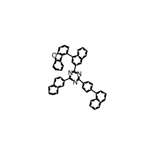 c1ccc2cc(-c3nc(-c4ccc(-c5cccc6ccccc56)cc4)nc(-c4cc(-c5cccc6oc7ccccc7c56)c5ccccc5c4)n3)ccc2c1